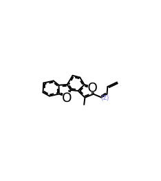 C=C/C=C\c1oc2ccc3c4ccccc4oc3c2c1C